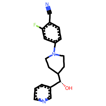 N#Cc1ccc(N2CCC([C@H](O)c3cccnc3)CC2)cc1F